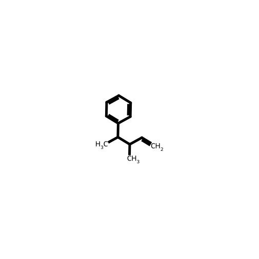 C=CC(C)C(C)c1ccccc1